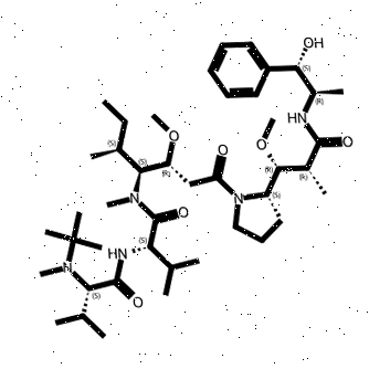 CC[C@H](C)[C@@H]([C@@H](CC(=O)N1CCC[C@H]1[C@H](OC)[C@@H](C)C(=O)N[C@H](C)[C@@H](O)c1ccccc1)OC)N(C)C(=O)[C@@H](NC(=O)[C@H](C(C)C)N(C)C(C)(C)C)C(C)C